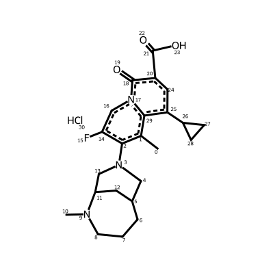 Cc1c(N2CC3CCCN(C)C(C3)C2)c(F)cn2c(=O)c(C(=O)O)cc(C3CC3)c12.Cl